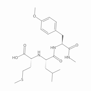 CNC(=O)[C@H](Cc1ccc(OC)cc1)NC(=O)[C@H](CC(C)C)N[C@H](CCSC)C(=O)O